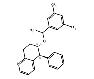 CC(O[C@H]1CCc2ncccc2[C@@H]1c1ccccc1)c1cc(C(F)(F)F)cc(C(F)(F)F)c1